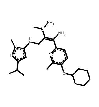 Cc1nc(/C(N)=C(\CNc2cc(C(C)C)nn2C)N(C)N)ccc1OC1CCCCC1